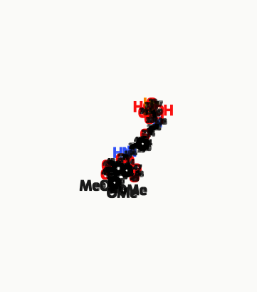 COc1cc([C@@H]2c3cc4c(cc3[C@H](OC(=O)N/N=C/c3cccc(OCCCN(C)CCC(O)([PH](=O)O)P(C)(=O)O)c3)C3COC(=O)[C@@H]32)OCO4)cc(OC)c1OC